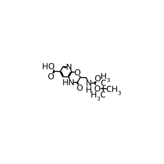 CC(C)(C)OC(=O)NCC1Oc2ncc(C(=O)O)cc2NC1=O